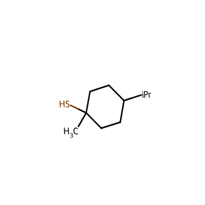 CC(C)C1CCC(C)(S)CC1